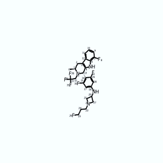 C[C@H]1Cc2c([nH]c3c(F)cccc23)[C@H](c2c(F)cc(NC3CN(CCCF)C3)cc2F)N1CC(F)(F)F